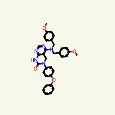 COc1ccc(CN(Cc2ccc(OC)cc2)c2ncnc3c2CN(c2ccc(Oc4ccccc4)cc2)C(=O)N3)cc1